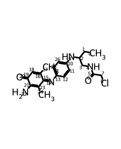 CCC(CNC(=O)CCl)Nc1ccc(N=C2C(C)=CC(=O)C(N)=C2C)cc1